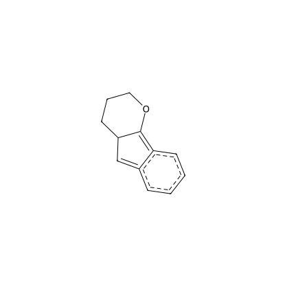 C1=c2ccccc2=C2OCCCC12